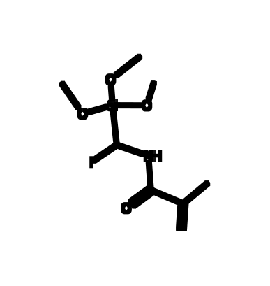 C=C(C)C(=O)NC(I)[Si](OC)(OC)OC